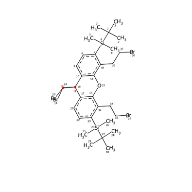 CC(C)(C)[Si](C)(C)c1ccc(CCBr)c(Oc2c(CCBr)ccc([Si](C)(C)C(C)(C)C)c2CCBr)c1CCBr